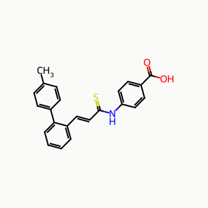 Cc1ccc(-c2ccccc2C=CC(=S)Nc2ccc(C(=O)O)cc2)cc1